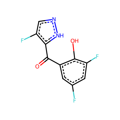 O=C(c1cc(F)cc(F)c1O)c1[nH]ncc1F